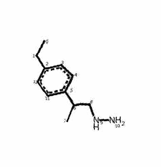 CCc1ccc(C(C)CNN)cc1